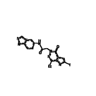 CCc1nn(CC(=O)Nc2ccc3nncn3c2)c(=O)c2cc(I)nn12